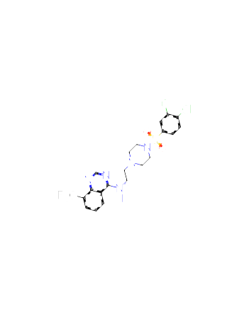 C[C@@H](CN1CCN(S(=O)(=O)c2ccc(Cl)c(Cl)c2)CC1)Nc1ncnc2c(C(F)(F)F)cccc12